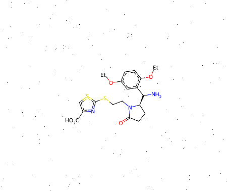 CCOc1ccc(OCC)c(C(N)[C@H]2CCC(=O)N2CCSc2nc(C(=O)O)cs2)c1